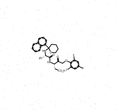 CC(C)[C@H](NC1(c2cccc3ccccc23)CCCCO1)C(=O)N[C@@H](CC(=O)O)C(=O)COc1c(F)cc(F)cc1F